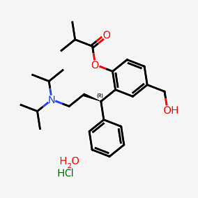 CC(C)C(=O)Oc1ccc(CO)cc1[C@H](CCN(C(C)C)C(C)C)c1ccccc1.Cl.O